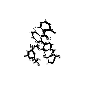 Cc1cccc(F)c1C(=O)N1CCC[C@H](C(=O)Nc2cccc(C(C)(C)C)c2)C1c1ccc(CN2C(C)CCC2C)cc1